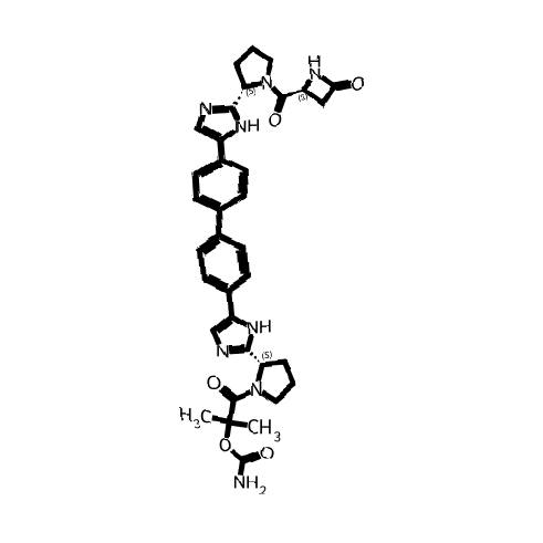 CC(C)(OC(N)=O)C(=O)N1CCC[C@H]1c1ncc(-c2ccc(-c3ccc(-c4cnc([C@@H]5CCCN5C(=O)[C@@H]5CC(=O)N5)[nH]4)cc3)cc2)[nH]1